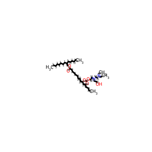 CCCCCCCCC(CCCCCC)COC(=O)CCCCCCCCC(CCCCCC)OC(=O)OCCN(CCO)CCN(CC)CC